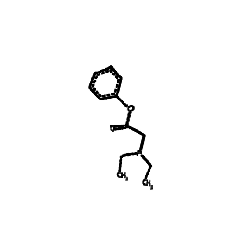 CCP(CC)CC(=O)Oc1ccccc1